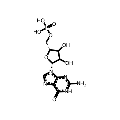 Nc1nc2c(ncn2[C@@H]2O[C@H](COP(=O)(O)O)C(O)C2O)c(=O)[nH]1